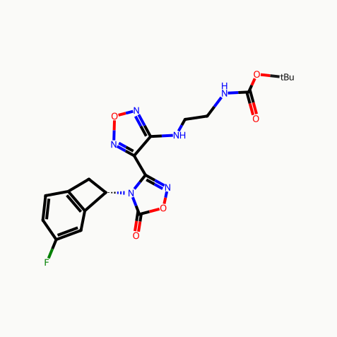 CC(C)(C)OC(=O)NCCNc1nonc1-c1noc(=O)n1[C@H]1Cc2ccc(F)cc21